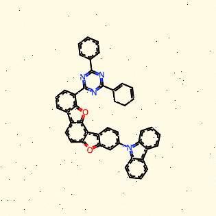 C1=CCCC(c2nc(-c3ccccc3)nc(-c3cccc4c3oc3c4ccc4oc5cc(-n6c7ccccc7c7ccccc76)ccc5c43)n2)=C1